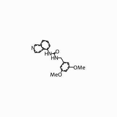 COc1cc(CNC(=O)Nc2cccc3cnccc23)cc(OC)c1